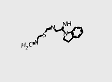 C=NCS/C=N\CC(=N)N1CCc2ccccc21